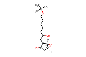 C[Si](C)(C)OCCCCCC(O)C[C@H]1[C@H]2O[C@H]2C[C@H]1O